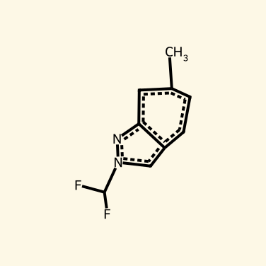 Cc1ccc2cn(C(F)F)nc2c1